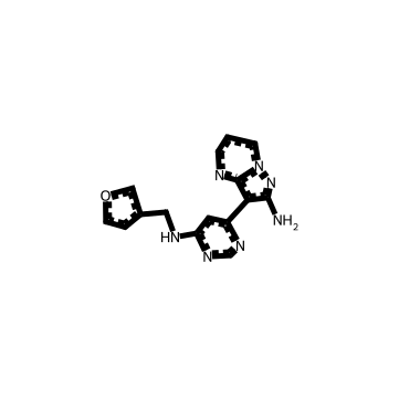 Nc1nn2cccnc2c1-c1cc(NCc2ccoc2)ncn1